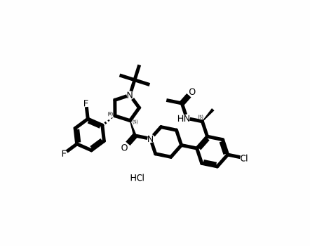 CC(=O)N[C@@H](C)c1cc(Cl)ccc1C1CCN(C(=O)[C@@H]2CN(C(C)(C)C)C[C@H]2c2ccc(F)cc2F)CC1.Cl